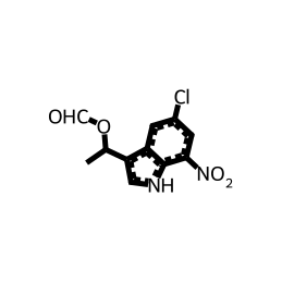 CC(OC=O)c1c[nH]c2c([N+](=O)[O-])cc(Cl)cc12